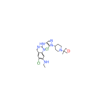 CCNc1cc2nc(Nc3cnn(C4CCN(C5(C)COC5)CC4)c3Cl)ncc2cc1Cl